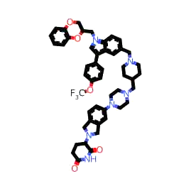 O=C1CCC(N2Cc3ccc(N4CCN(CC5CCN(Cc6ccc7c(c6)c(-c6ccc(OC(F)(F)F)cc6)cn7CC6COc7ccccc7O6)CC5)CC4)cc3C2)C(=O)N1